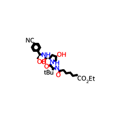 CCOC(=O)CCCCCC(=O)NC(C(=O)N1C[C@H](O)C[C@H]1C(=O)N[C@@H](CO)c1ccc(C#N)cc1)C(C)(C)C